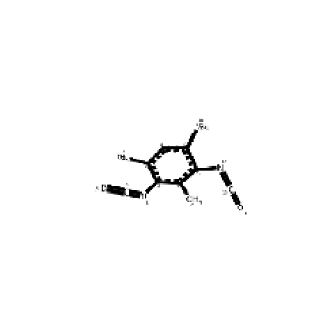 Cc1c(N=C=O)c(C(C)(C)C)cc(C(C)(C)C)c1N=C=O